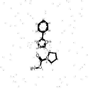 CC(C)OC(=O)N1CCC[C@H]1c1nnc(-c2ccccc2)o1